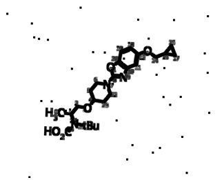 C[C@@H](COC1CCN(c2nc3cc(OCC4CC4)ccc3o2)CC1)N(C(=O)O)C(C)(C)C